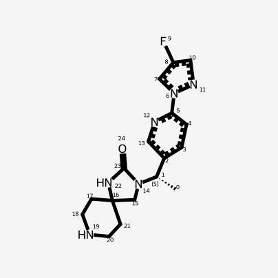 C[C@@H](c1ccc(-n2cc(F)cn2)nc1)N1CC2(CCNCC2)NC1=O